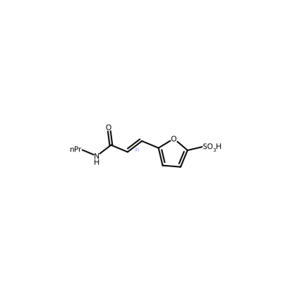 CCCNC(=O)/C=C/c1ccc(S(=O)(=O)O)o1